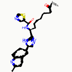 CNC(=O)CCCCC[C@H](NC(=O)c1cncs1)c1ncc(-c2ccc3nc(C)ccc3c2)[nH]1